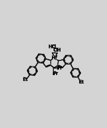 CCc1ccc(-c2cccc3c2C=C(CC(C)C)[CH]3[Hf]2([CH]3C(CC(C)C)=Cc4c(-c5ccc(CC)cc5)cccc43)[CH2][CH2]2)cc1.Cl.Cl